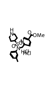 COC(=O)c1ccc(CN(c2cccc(C)c2)S(=O)(=O)C2CCNCC2)nc1.Cl.Cl